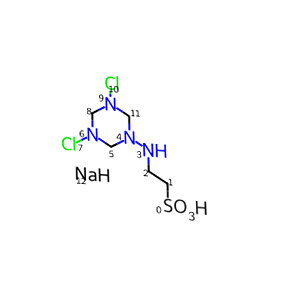 O=S(=O)(O)CCNN1CN(Cl)CN(Cl)C1.[NaH]